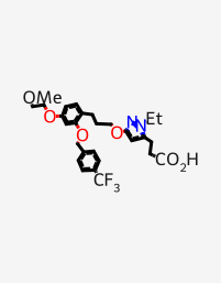 CCn1nc(OCCCc2ccc(OCCOC)cc2OCc2ccc(C(F)(F)F)cc2)cc1CCC(=O)O